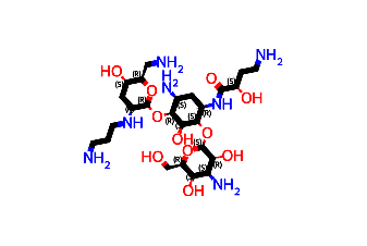 NCCCN[C@@H]1C[C@H](O)[C@@H](CN)O[C@@H]1O[C@H]1[C@H](O)[C@@H](O[C@H]2O[C@H](CO)[C@@H](O)[C@H](N)[C@H]2O)[C@H](NC(=O)[C@@H](O)CCN)C[C@@H]1N